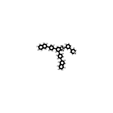 c1cc(-c2ccncc2)cc(-n2nc3cc(-c4ccc(-c5ccc6ccccc6c5)cc4)cc(-c4ccc(-c5ccc6ccccc6c5)cc4)c3n2)c1